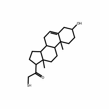 CC12CCC(O)CC1=CCC1C2CCC2(C)C(C(=O)CS)CCC12